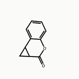 O=C1Oc2ccccc2C2CC12